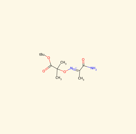 C/C(=N\OC(C)(C)C(=O)OC(C)(C)C)C(N)=O